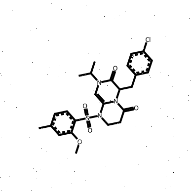 COc1cc(C)ccc1S(=O)(=O)N1CCC(=O)N2C1=CN(C(C)C)C(=O)C2Cc1ccc(Cl)cc1